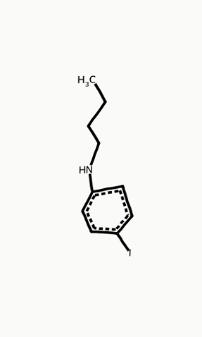 CCCCNc1ccc(I)cc1